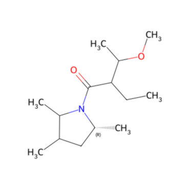 CCC(C(=O)N1C(C)C(C)C[C@H]1C)C(C)OC